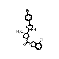 CN1CN(C(=O)N2Cc3cccc(Cl)c3C2)CC1c1nc(-c2ccc(Br)cc2)c[nH]1